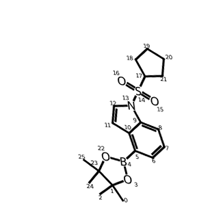 CC1(C)OB(c2cccc3c2ccn3S(=O)(=O)C2CCCC2)OC1(C)C